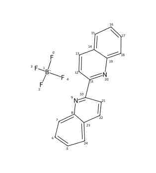 F[B-](F)(F)F.c1ccc2nc(-c3ccc4ccccc4n3)ccc2c1